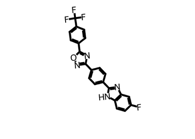 Fc1ccc2[nH]c(-c3ccc(-c4noc(-c5ccc(C(F)(F)F)cc5)n4)cc3)nc2c1